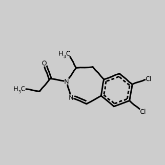 CCC(=O)N1N=Cc2cc(Cl)c(Cl)cc2CC1C